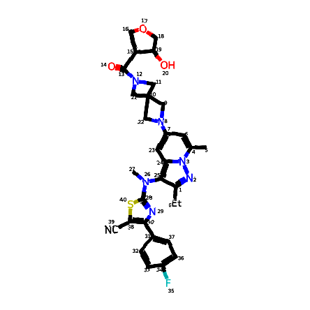 CCc1nn2c(C)cc(N3CC4(CN(C(=O)C5COCC5O)C4)C3)cc2c1N(C)c1nc(-c2ccc(F)cc2)c(C#N)s1